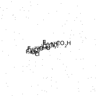 O=C(O)[C@H]1CCCN(CC2=Cc3c(F)cc(OCc4ccc(OC(CF)CF)c(Cl)c4)cc3OC2)C1